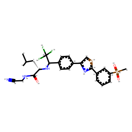 CC(C)C[C@H](NC(c1ccc(-c2csc(-c3cccc(S(C)(=O)=O)c3)n2)cc1)C(F)(F)F)C(=O)NCC#N